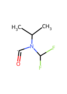 CC(C)N([C]=O)C(F)F